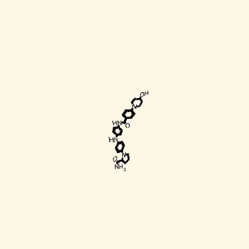 NC(=O)C1CCCN1c1ccc(Nc2ccc(NC(=O)c3ccc(N4CCC(O)CC4)cc3)cc2)cc1